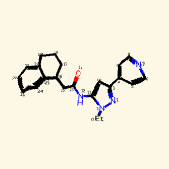 CCn1nc(-c2ccncc2)cc1NC(=O)CC1CCCc2ccccc21